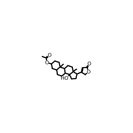 CC(=O)OC1CCC2(C)C(CCC3C2CCC2(C)C(C4=CC(=O)OC4)CCC32O)C1